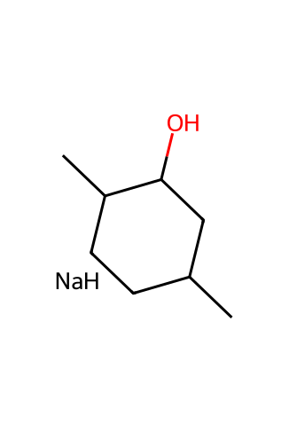 CC1CCC(C)C(O)C1.[NaH]